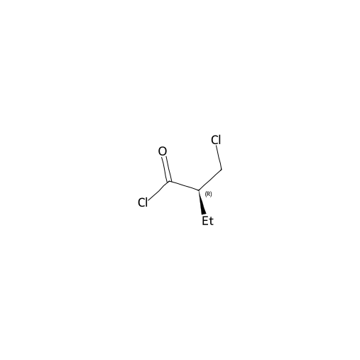 CC[C@H](CCl)C(=O)Cl